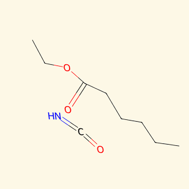 CCCCCC(=O)OCC.N=C=O